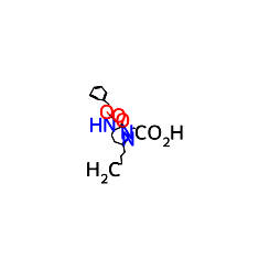 C=CCCC1=NN(CC(=O)O)C(=O)[C@@H](NC(=O)OCc2ccccc2)CC1